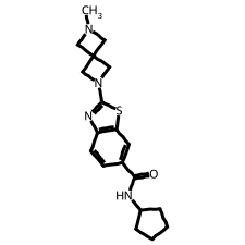 CN1CC2(C1)CN(c1nc3ccc(C(=O)NC4CCCC4)cc3s1)C2